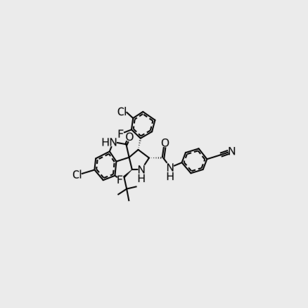 CC(C)(C)C[C@@H]1N[C@@H](C(=O)Nc2ccc(C#N)cc2)[C@@H](c2cccc(Cl)c2F)C12C(=O)Nc1cc(Cl)cc(F)c12